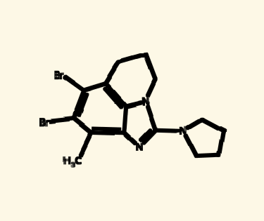 Cc1c(Br)c(Br)c2c3c1nc(N1CCCC1)n3CCC2